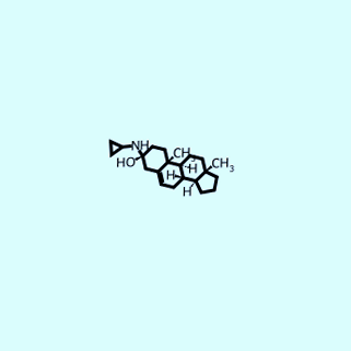 C[C@@]12CCC[C@H]1[C@@H]1CC=C3C[C@](O)(NC4CC4)CC[C@]3(C)[C@H]1CC2